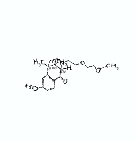 COCCOCCN1CC[C@@]2(C)c3cc(O)ccc3C(=O)[C@@H]1[C@@H]2C